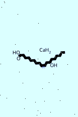 CCCCCCC(O)C/C=C\CCCCCCCC(=O)O.[CaH2]